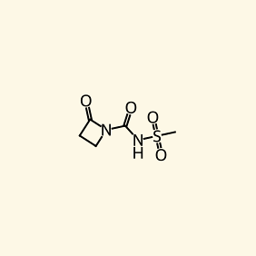 CS(=O)(=O)NC(=O)N1CCC1=O